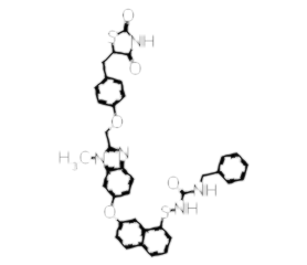 Cn1c(COc2ccc(CC3SC(=O)NC3=O)cc2)nc2ccc(Oc3ccc4cccc(SNC(=O)NCc5ccccc5)c4c3)cc21